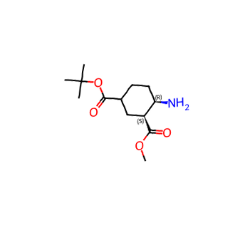 COC(=O)[C@H]1CC(C(=O)OC(C)(C)C)CC[C@H]1N